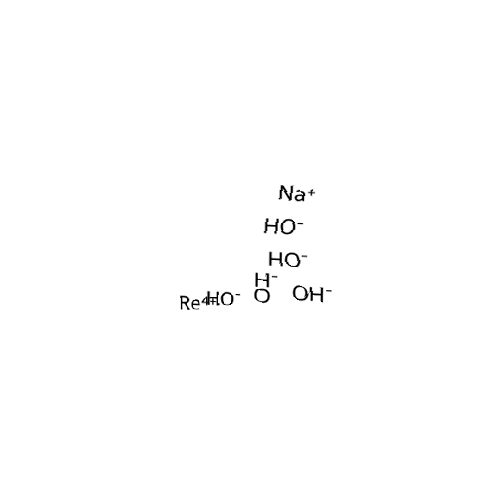 [Na+].[OH-].[OH-].[OH-].[OH-].[OH-].[Re+4]